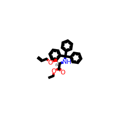 C=CCOC[C@H](NC(c1ccccc1)(c1ccccc1)c1ccccc1)C(=O)OCC